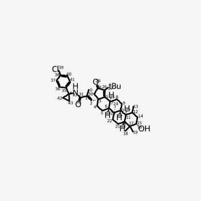 C/C(=C\[C@@]12CC[C@@H]3[C@H](CC[C@@H]4[C@H]5C(C)C[C@H](O)C(C)(C)[C@@H]5CC[C@]43C)C1=C(C(C)(C)C)C(=O)C2)C(=O)NC1(c2ccc(Cl)cc2)CC1